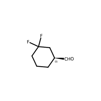 O=C[C@H]1CCCC(F)(F)C1